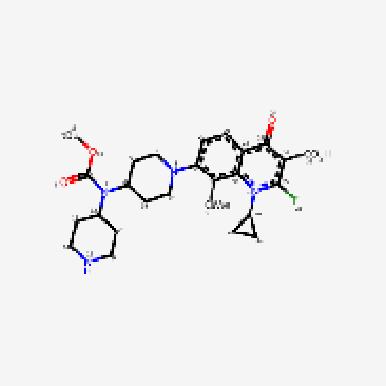 COc1c(N2CCC(N(C(=O)OC(C)(C)C)C3CCNCC3)CC2)ccc2c(=O)c(C(=O)O)c(F)n(C3CC3)c12